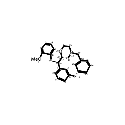 COc1ccccc1S[C@H](c1cccc(F)c1)[C@H]1CN(Cc2ccccc2)CCO1